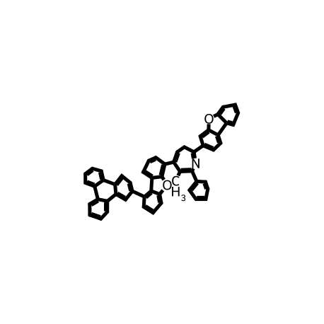 CC1=C(c2ccccc2)N=C(c2ccc3c(c2)oc2ccccc23)CC=C1c1cccc2c1oc1cccc(-c3ccc4c5ccccc5c5ccccc5c4c3)c12